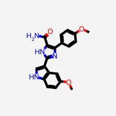 COc1ccc(-c2nc(-c3c[nH]c4ccc(OC)cc34)[nH]c2C(N)=O)cc1